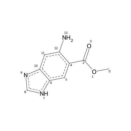 COC(=O)c1cc2[nH]cnc2cc1N